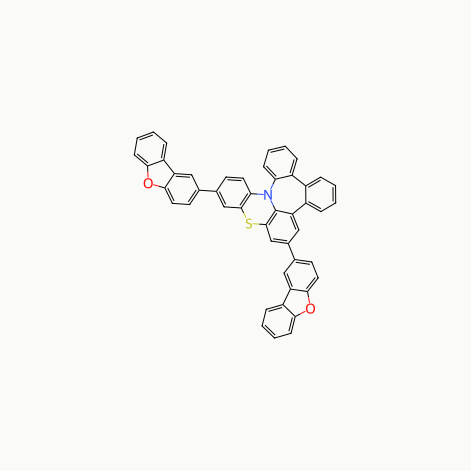 c1ccc2c(c1)-c1ccccc1N1c3ccc(-c4ccc5oc6ccccc6c5c4)cc3Sc3cc(-c4ccc5oc6ccccc6c5c4)cc-2c31